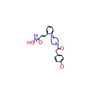 COc1ccc(CC(=O)N2CCN(c3ccccc3C=CC(=O)NO)CC2)cc1